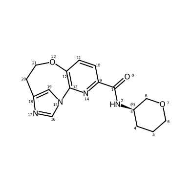 O=C(N[C@@H]1CCCOC1)c1ccc2c(n1)-n1cnc(c1)CCO2